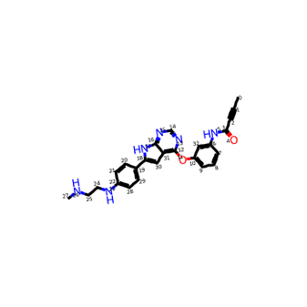 CC#CC(=O)Nc1cccc(Oc2ncnc3[nH]c(-c4ccc(NCCNC)cc4)cc23)c1